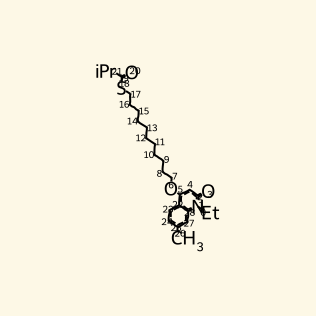 CCn1c(=O)cc(OCCCCCCCCCCCSC(=O)C(C)C)c2ccc(C)cc21